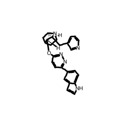 c1cncc(C[C@H]2[C@H](Oc3ccc(-c4ccc5[nH]ccc5c4)nn3)C3CCN2CC3)c1